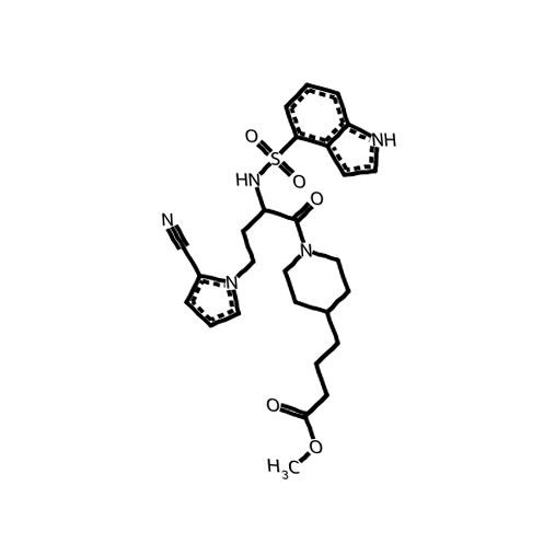 COC(=O)CCCC1CCN(C(=O)C(CCn2cccc2C#N)NS(=O)(=O)c2cccc3[nH]ccc23)CC1